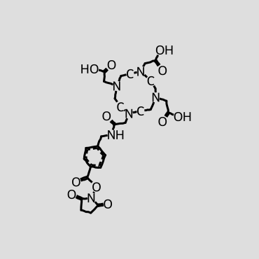 O=C(O)CN1CCN(CC(=O)O)CCN(CC(=O)NCc2ccc(C(=O)ON3C(=O)CCC3=O)cc2)CCN(CC(=O)O)CC1